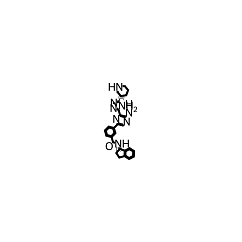 Nc1ncc(-c2cccc(C(=O)N[C@H]3CCc4ccccc43)c2)nc1-c1nnc([C@H]2CCCNC2)[nH]1